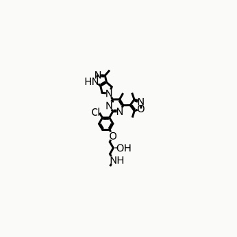 CNC[C@@H](O)COc1ccc(Cl)c(-c2nc(-c3c(C)noc3C)c(C)c(N3Cc4[nH]nc(C)c4C3)n2)c1